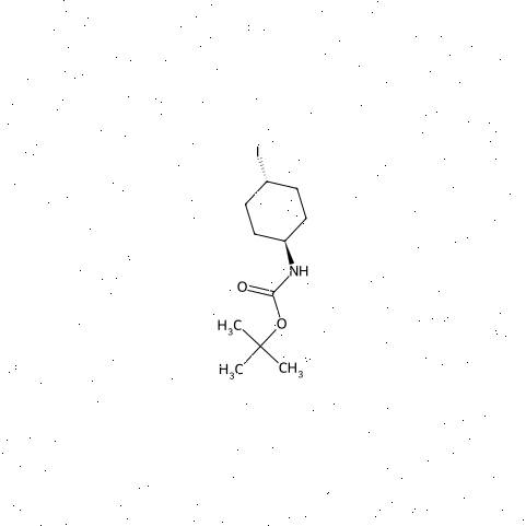 CC(C)(C)OC(=O)N[C@H]1CC[C@H](I)CC1